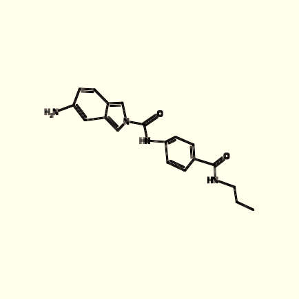 CCCNC(=O)c1ccc(NC(=O)n2cc3ccc(N)cc3c2)cc1